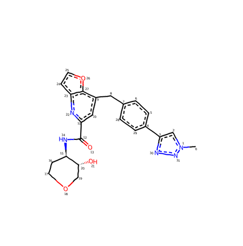 Cn1cc(-c2ccc(Cc3cc(C(=O)N[C@@H]4CCOC[C@H]4O)nc4ccoc34)cc2)nn1